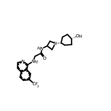 O=C(CNc1nccc2ccc(C(F)(F)F)cc12)NC1CN([C@H]2CC[C@@H](O)CC2)C1